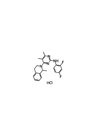 Cc1nc(Nc2ccc(F)cc2F)nc(N2CCc3ccccc3C2C)c1C.Cl